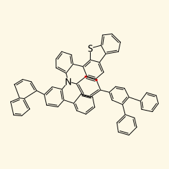 c1ccc(-c2ccc(-c3ccc(N(c4cc(-c5cccc6ccccc56)ccc4-c4ccccc4)c4ccccc4-c4cccc5c4sc4ccccc45)cc3)cc2-c2ccccc2)cc1